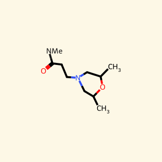 CNC(=O)CCN1CC(C)OC(C)C1